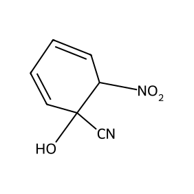 N#CC1(O)C=CC=CC1[N+](=O)[O-]